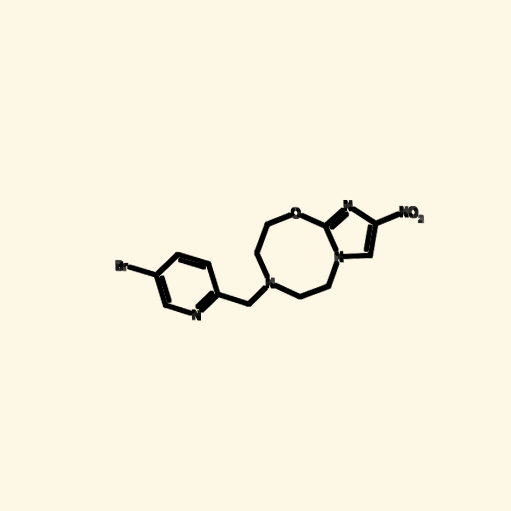 O=[N+]([O-])c1cn2c(n1)OCCN(Cc1ccc(Br)cn1)CC2